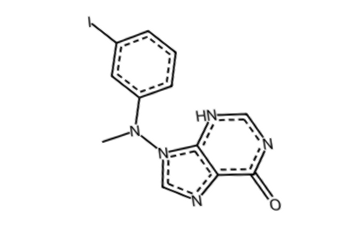 CN(c1cccc(I)c1)n1cnc2c(=O)nc[nH]c21